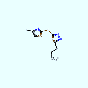 Cc1csc(Sc2nnc(CCC(=O)O)s2)n1